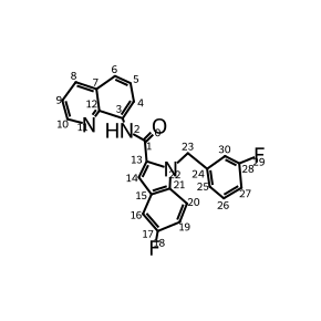 O=C(Nc1cccc2cccnc12)c1cc2cc(F)ccc2n1Cc1cccc(F)c1